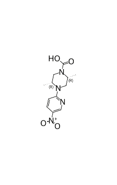 C[C@@H]1CN(c2ccc([N+](=O)[O-])cn2)[C@H](C)CN1C(=O)O